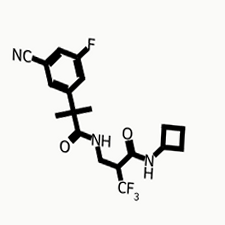 CC(C)(C(=O)NCC(C(=O)NC1CCC1)C(F)(F)F)c1cc(F)cc(C#N)c1